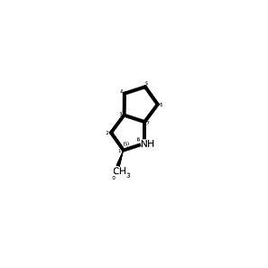 C[C@H]1CC2CCCC2N1